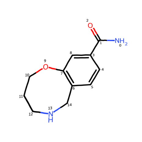 NC(=O)c1ccc2c(c1)OCCCNC2